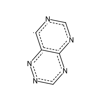 [c]1ncnc2ncnnc12